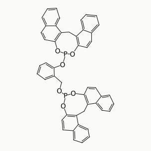 c1ccc(OP2Oc3ccc4ccccc4c3Cc3c(ccc4ccccc34)O2)c(COP2Oc3ccc4ccccc4c3Cc3c(ccc4ccccc34)O2)c1